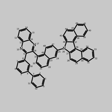 c1ccc(-c2cccc(-c3nc4ccccc4nc3-c3cccc4cc(-n5c6ccc7ccccc7c6c6c7ccccc7ccc65)ccc34)c2)cc1